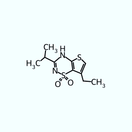 CCc1csc2c1S(=O)(=O)N=C(C(C)C)N2